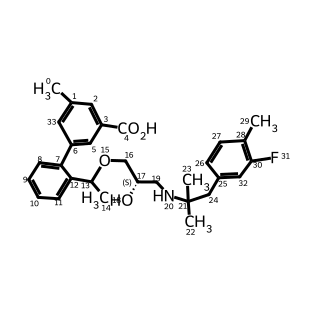 Cc1cc(C(=O)O)cc(-c2ccccc2C(C)OC[C@@H](O)CNC(C)(C)Cc2ccc(C)c(F)c2)c1